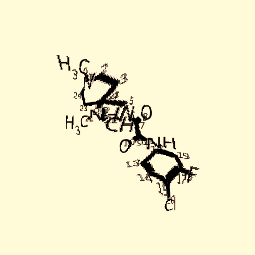 CN1CCC(CNC(=O)C(=O)Nc2ccc(Cl)c(F)c2)(N(C)C)CC1